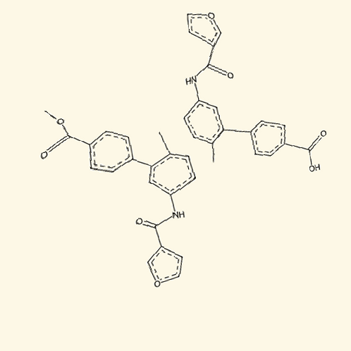 COC(=O)c1ccc(-c2cc(NC(=O)c3ccoc3)ccc2C)cc1.Cc1ccc(NC(=O)c2ccoc2)cc1-c1ccc(C(=O)O)cc1